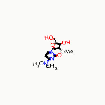 COC1C(O)[C@@H](CO)O[C@H]1n1ccc(N(C)C)nc1=O